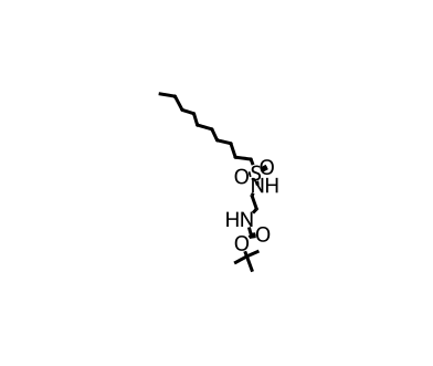 CCCCCCCCCCS(=O)(=O)NCCNC(=O)OC(C)(C)C